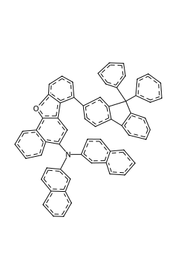 c1ccc(C2(c3ccccc3)c3ccccc3-c3ccc(-c4cccc5oc6c7ccccc7c(N(c7ccc8ccccc8c7)c7ccc8ccccc8c7)cc6c45)cc32)cc1